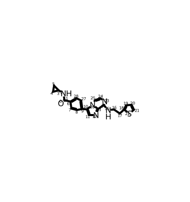 O=C(NC1CC1)c1ccc(-c2cnc3c(NCCc4cccs4)nccn23)cc1